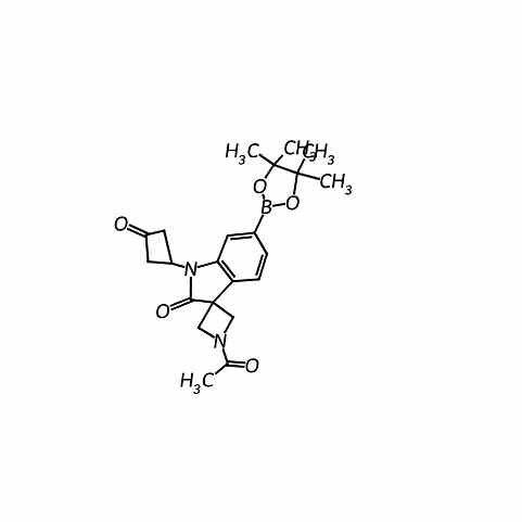 CC(=O)N1CC2(C1)C(=O)N(C1CC(=O)C1)c1cc(B3OC(C)(C)C(C)(C)O3)ccc12